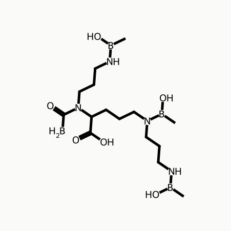 BC(=O)N(CCCNB(C)O)C(CCCN(CCCNB(C)O)B(C)O)C(=O)O